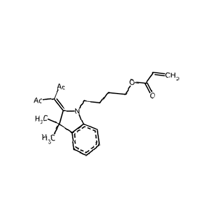 C=CC(=O)OCCCCN1C(=C(C(C)=O)C(C)=O)C(C)(C)c2ccccc21